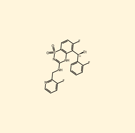 CC[C@@H](c1ccccc1F)c1c(F)ccc2c1NC(NCc1ncccc1F)=NS2(=O)=O